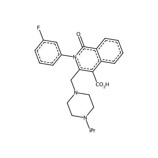 CC(C)N1CCN(Cc2c(C(=O)O)c3ccccc3c(=O)n2-c2cccc(F)c2)CC1